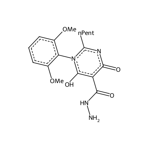 CCCCCc1nc(=O)c(C(=O)NN)c(O)n1-c1c(OC)cccc1OC